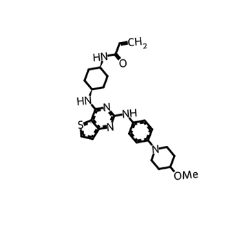 C=CC(=O)N[C@H]1CC[C@@H](Nc2nc(Nc3ccc(N4CCC(OC)CC4)cc3)nc3ccsc23)CC1